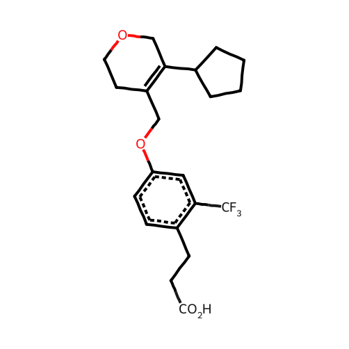 O=C(O)CCc1ccc(OCC2=C(C3CCCC3)COCC2)cc1C(F)(F)F